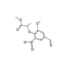 COC(=O)C(C)Oc1c(OC)cc(C=O)cc1[N+](=O)[O-]